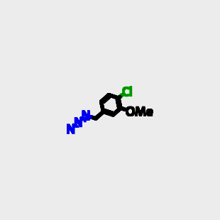 COc1cc(CN=[N+]=[N-])ccc1Cl